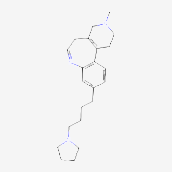 CN1CCC2=C(CC=Nc3cc(CCCCN4CCCC4)ccc32)C1